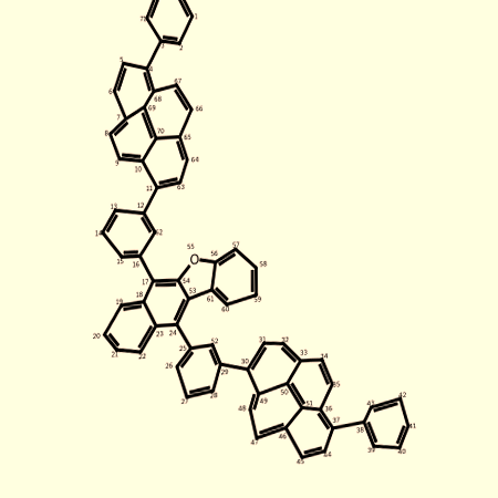 c1ccc(-c2ccc3ccc4c(-c5cccc(-c6c7ccccc7c(-c7cccc(-c8ccc9ccc%10c(-c%11ccccc%11)ccc%11ccc8c9c%11%10)c7)c7c6oc6ccccc67)c5)ccc5ccc2c3c54)cc1